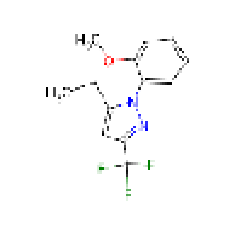 CCc1cc(C(F)(F)F)nn1-c1ccccc1OC